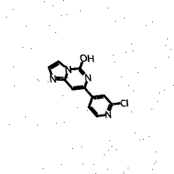 Oc1nc(-c2ccnc(Cl)c2)cc2nccn12